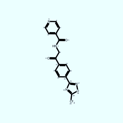 O=C(CNC(=O)c1ccncc1)c1ccc(-c2noc(C(F)(F)F)n2)cc1